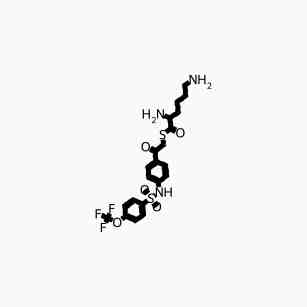 NCCCCC(N)C(=O)SCC(=O)c1ccc(NS(=O)(=O)c2ccc(OC(F)(F)F)cc2)cc1